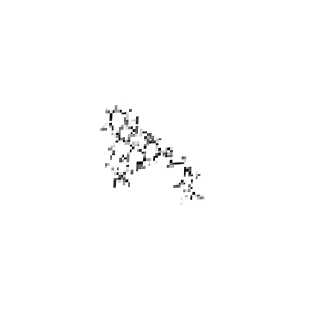 C[C@@H]1Cc2c([nH]c3ccccc23)[C@@H](c2c(F)cc(OCCN3CC(CCl)C3)cc2F)N1CC(C)(C)F